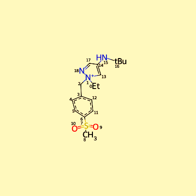 CC[N+]1(Cc2ccc(S(C)(=O)=O)cc2)C=C(NC(C)(C)C)C=N1